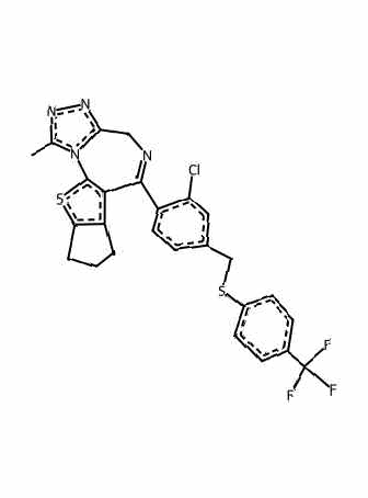 Cc1nnc2n1-c1sc3c(c1C(c1ccc(CSc4ccc(C(F)(F)F)cc4)cc1Cl)=NC2)CCC3